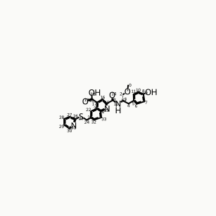 COC[C@H](Cc1ccc(O)cc1)NC(=O)c1cc(C(=O)O)c2cc(CSc3ccccn3)ccc2n1